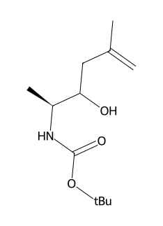 C=C(C)CC(O)[C@H](C)NC(=O)OC(C)(C)C